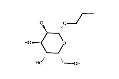 CCCO[C@@H]1O[C@H](CO)[C@H](O)[C@@H](O)[C@H]1O